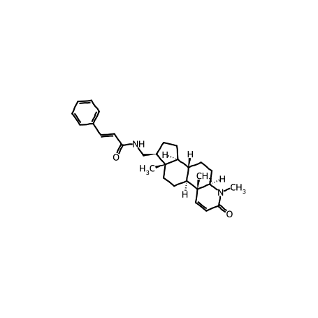 CN1C(=O)C=C[C@]2(C)[C@H]3CC[C@]4(C)[C@@H](CNC(=O)C=Cc5ccccc5)CC[C@H]4[C@@H]3CC[C@@H]12